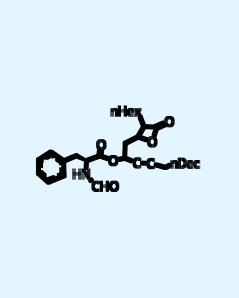 CCCCCCCCCCCCCC(CC1OC(=O)C1CCCCCC)OC(=O)[C@H](Cc1ccccc1)NC=O